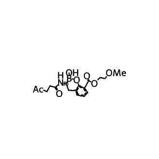 COCCOC(=O)c1cccc2c1OB(O)[C@@H](NC(=O)CCC(C)=O)C2